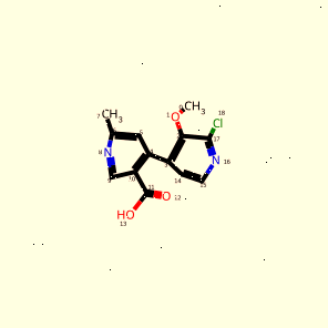 COc1c(-c2cc(C)ncc2C(=O)O)ccnc1Cl